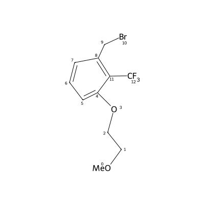 COCCOc1cccc(CBr)c1C(F)(F)F